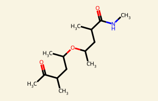 CNC(=O)C(C)CC(C)OC(C)CC(C)C(C)=O